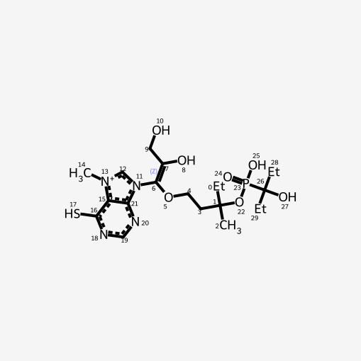 CCC(C)(CCO/C(=C(\O)CO)n1c[n+](C)c2c(S)ncnc21)OP(=O)(O)C(O)(CC)CC